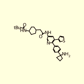 CC(C)(C)C(=O)NC1CCC(CC(=O)Nc2cnc(-c3ccc(C4(N)CCC4)cc3)c(-c3ccsc3)c2)CC1